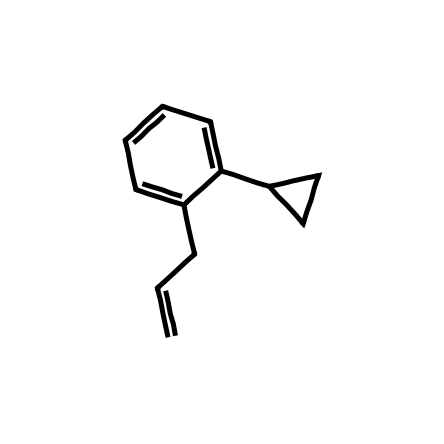 C=CCc1ccccc1[C]1CC1